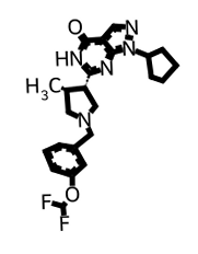 C[C@@H]1CN(Cc2cccc(OC(F)F)c2)C[C@H]1c1nc2c(cnn2C2CCCC2)c(=O)[nH]1